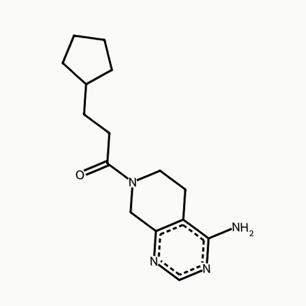 Nc1ncnc2c1CCN(C(=O)CCC1CCCC1)C2